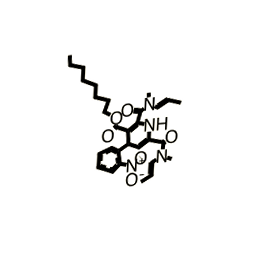 CC=CN(C)C(=O)C1=CC(c2ccccc2[N+](=O)[O-])C(C(=O)OCCCCCCCC)=C(C(=O)N(C)C=CC)N1